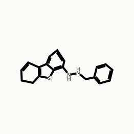 C1=Cc2c(sc3c(NNCc4ccccc4)cccc23)CC1